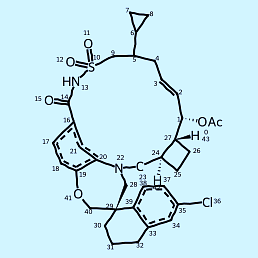 CC(=O)O[C@H]1/C=C/CC(C2CC2)CS(=O)(=O)NC(=O)c2ccc3c(c2)N(C[C@@H]2CC[C@H]21)C[C@@]1(CCCc2cc(Cl)ccc21)CO3